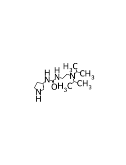 CC(C)N(CCNC(=O)NC1CCNC1)C(C)C